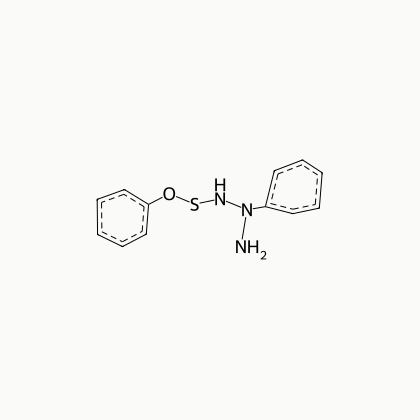 NN(NSOc1ccccc1)c1ccccc1